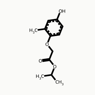 Cc1cc(O)ccc1OCC(=O)OC(C)C